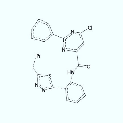 CC(C)Cc1nnc(-c2ccccc2NC(=O)c2cc(Cl)nc(-c3ccccc3)n2)s1